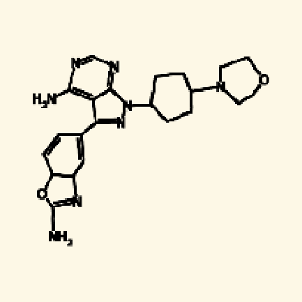 NC1=NC2C=C(c3nn(C4CCC(N5CCOCC5)CC4)c4ncnc(N)c34)C=CC2O1